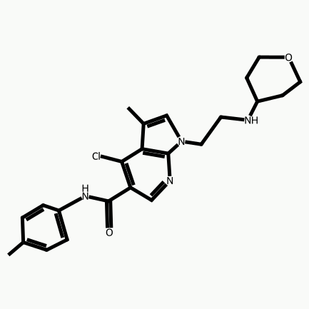 Cc1ccc(NC(=O)c2cnc3c(c(C)cn3CCNC3CCOCC3)c2Cl)cc1